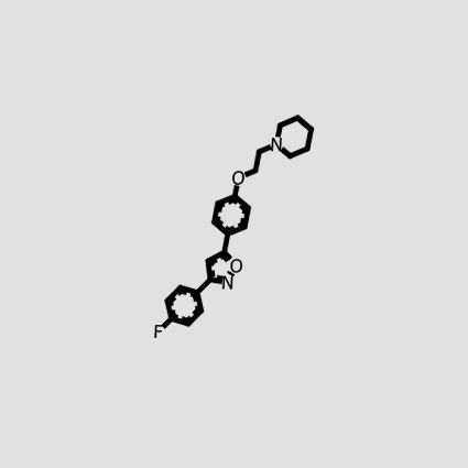 Fc1ccc(-c2cc(-c3ccc(OCCN4CCCCC4)cc3)on2)cc1